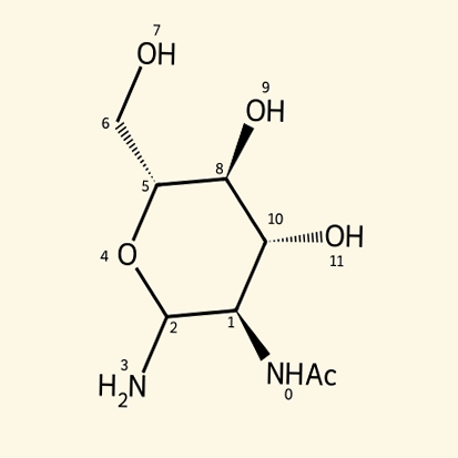 CC(=O)N[C@H]1C(N)O[C@H](CO)[C@@H](O)[C@@H]1O